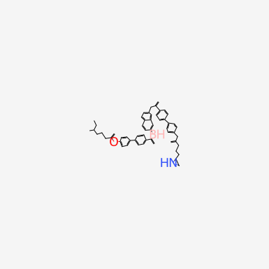 C=C(CCCC1CN1)Cc1ccc(-c2ccc(C(=C)Cc3ccc4ccc(BC(=C)c5ccc(-c6ccc(OC(=C)CCCC(C)CC)cc6)cc5)cc4c3)cc2)cc1